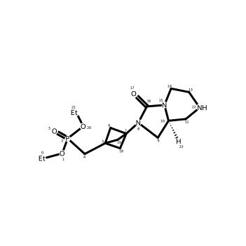 CCOP(=O)(CC12CC(N3C[C@@H]4CNCCN4C3=O)(C1)C2)OCC